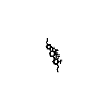 CCCc1ccc(C2=CC=C(c3ccc(CCC)c(F)c3F)C(F)(F)C2(F)F)cc1